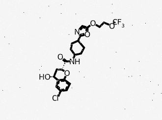 O=C(NC1CCC(c2ncc(OCCOC(F)(F)F)o2)CC1)[C@H]1C[C@@H](O)c2cc(Cl)ccc2O1